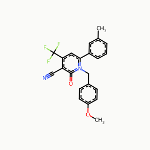 COc1ccc(Cn2c(-c3cccc(C)c3)cc(C(F)(F)F)c(C#N)c2=O)cc1